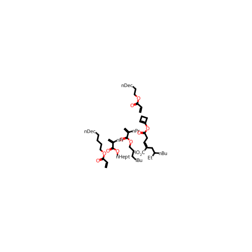 C=C(CCC)C(=O)OCCCC(C)CC.C=C(CCC)C(=O)OCCCCCCC.C=CC(=O)OCCCCCCCCCCCC.C=CC(=O)OCCCCCCCCCCCCCC.CCCCC(CC)CC(=CCC(=O)OC1=CCC1)C(=O)O